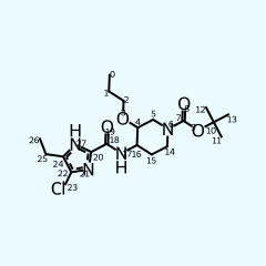 CCCOC1CN(C(=O)OC(C)(C)C)CCC1NC(=O)c1nc(Cl)c(CC)[nH]1